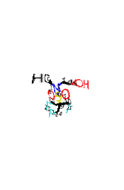 C#CN(CCO)S(=O)(=O)C(CF)(CF)CF